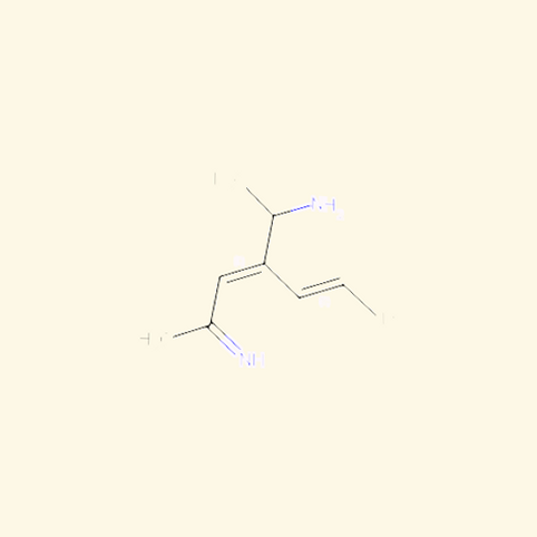 CC(=N)/C=C(\C=C\C(C)C)C(C)N